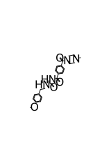 COc1ccc(CCNC(=O)NC(=O)c2ccc(C(=O)N3CCN(C)CC3)cc2)cc1